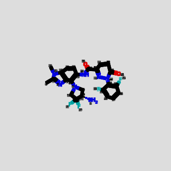 Cc1nc2c(N3C[C@H](N)C(F)(F)C3)c(NC(=O)c3ccc(=O)n(-c4c(F)cccc4F)n3)ccc2n1C